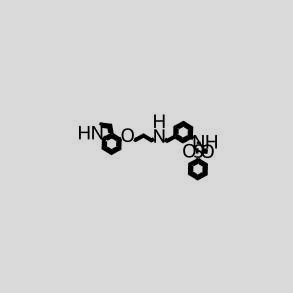 O=S(=O)(Nc1cccc(CNCCCOc2cccc3[nH]ccc23)c1)c1ccccc1